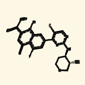 COC(=O)c1cc(=O)c2c(F)cc(-c3nc(N[C@@H]4CCOC[C@H]4O)ncc3F)cc2n1C(C)C